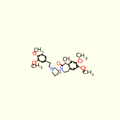 COc1ccc(CCN2CCC[C@H](N3CCc4cc(OC)c(OC)cc4C(C)C3=O)C2)cc1OC